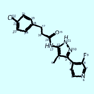 Cc1c(-c2ccncc2F)n[nH]c1NC(=O)CCc1ccc(Cl)cc1